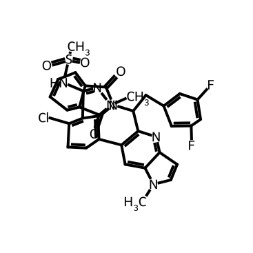 Cn1ccc2nc(C(Cc3cc(F)cc(F)c3)N3C(=O)c4ccccc4C3=O)c(-c3ccc(Cl)c4c(NS(C)(=O)=O)nn(C)c34)cc21